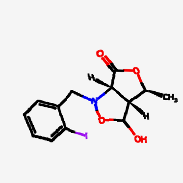 C[C@@H]1OC(=O)[C@@H]2[C@H]1C(O)ON2Cc1ccccc1I